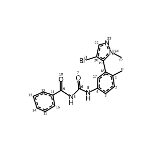 Cc1ccc(NC(=O)NC(=O)c2ccccc2)cc1-c1c(Br)cnn1C